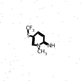 Cn1cc(SC(F)(F)F)ccc1=N